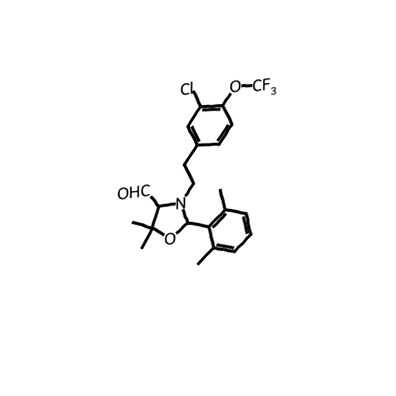 Cc1cccc(C)c1C1OC(C)(C)C(C=O)N1CCc1ccc(OC(F)(F)F)c(Cl)c1